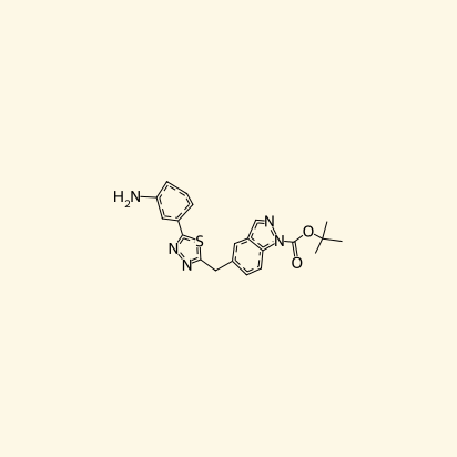 CC(C)(C)OC(=O)n1ncc2cc(Cc3nnc(-c4cccc(N)c4)s3)ccc21